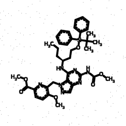 CCC[C@@H](CCO[Si](c1ccccc1)(c1ccccc1)C(C)(C)C)Nc1nc(NC(=O)OC)nc2cnn(Cc3nc(C(=O)OC)ccc3OC)c12